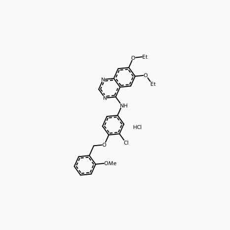 CCOc1cc2ncnc(Nc3ccc(OCc4ccccc4OC)c(Cl)c3)c2cc1OCC.Cl